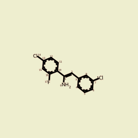 N/C(=C\c1cccc(Cl)c1)c1ccc(Cl)cc1F